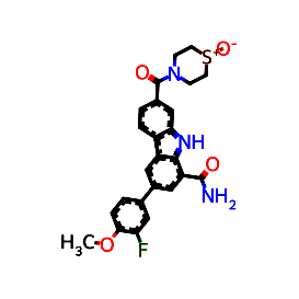 COc1ccc(-c2cc(C(N)=O)c3[nH]c4cc(C(=O)N5CC[S+]([O-])CC5)ccc4c3c2)cc1F